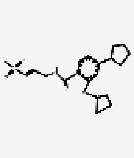 CS(=O)(=O)C=CCNC(=O)c1ccc(C2CCCC2)cc1OC1CCC1